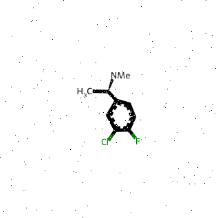 CN[C@H](C)c1ccc(F)c(Cl)c1